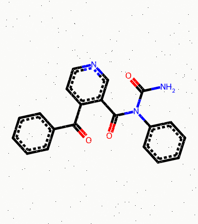 NC(=O)N(C(=O)c1cnccc1C(=O)c1ccccc1)c1ccccc1